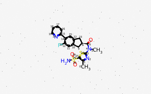 Cc1nc(N(C)C(=O)[C@H]2Cc3cc(F)c(-c4ccccn4)cc3C2)sc1S(N)(=O)=O